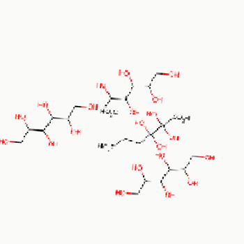 O=C(O)C(O)C(O)C(O)C(O)CO.O=C(O)CCC(O)(O)C(O)(O)C(=O)O.OCC(O)C(O)C(O)C(O)CO.OCC(O)C(O)C(O)C(O)CO